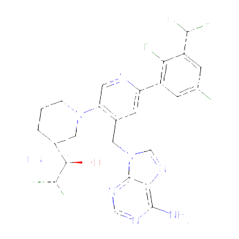 Nc1ncnc2c1ncn2Cc1cc(-c2cc(F)cc(C(F)F)c2F)ncc1N1CCC[C@](N)([C@@H](O)C(F)F)C1